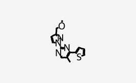 COCc1ccn(-c2ncc(C)c(-c3cccs3)n2)n1